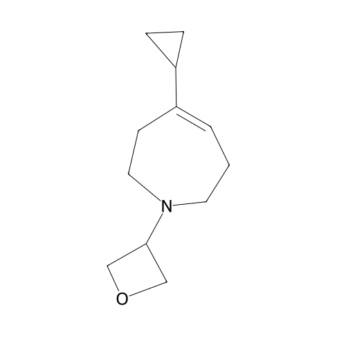 C1=C(C2CC2)CCN(C2COC2)CC1